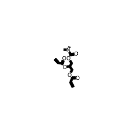 C=CC(=O)OCC(COC(=O)N(C)C)OC(=O)C=C